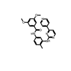 COc1cc(OC)cc(C(=O)Nc2ccc(C)c(Nc3nccc(-c4ccncc4)n3)c2)c1